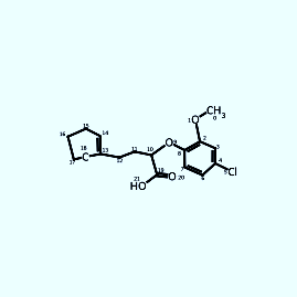 COc1cc(Cl)ccc1OC(CCC1=CCCCC1)C(=O)O